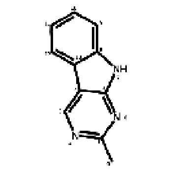 Cc1ncc2c(n1)[nH]c1ccccc12